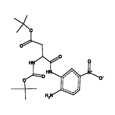 CC(C)(C)OC(=O)CC(NC(=O)OC(C)(C)C)C(=O)Nc1cc([N+](=O)[O-])ccc1N